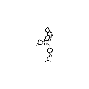 CC(C)COc1ccc(CNC(=O)N(Cc2nccc3ccccc23)C2CCN(C)CC2)cc1